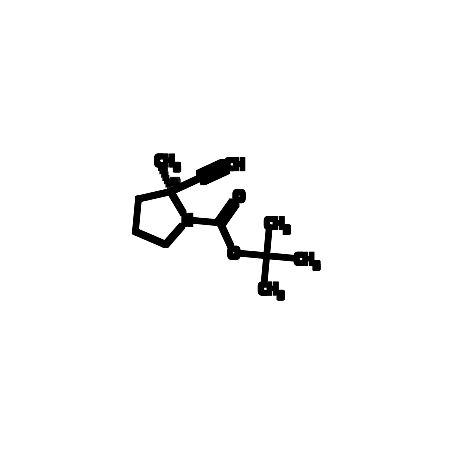 C#C[C@]1(C)CCCN1C(=O)OC(C)(C)C